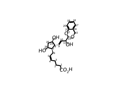 O=C(O)CCC/C=C\C[C@@H]1[C@@H](/C=C/[C@H](O)[C@H]2OCc3ccccc3O2)[C@H](O)C[C@@H]1O